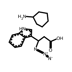 NC1CCCCC1.[N-]=[N+]=NC(CC(=O)O)c1c[nH]c2ccccc12